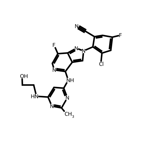 Cc1nc(NCCO)cc(Nc2ncc(F)c3nn(-c4c(Cl)cc(F)cc4C#N)cc23)n1